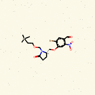 C[Si](C)(C)CCOCN1C(=O)CC[C@H]1COc1cc([N+](=O)[O-])c(C=O)cc1Br